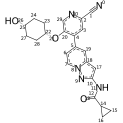 N#Cc1cc(-c2ccn3nc(NC(=O)C4CC4)cc3c2)c(O[C@H]2CC[C@@H](O)CC2)cn1